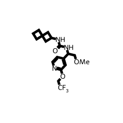 COCC(NC(=O)NC1CC2(CCC2)C1)c1ccnc(OCC(F)(F)F)c1